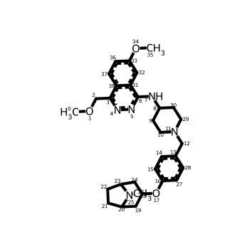 COCc1nnc(NC2CCN(Cc3ccc(OC4CC5CCC(C4)N5C)cc3)CC2)c2cc(OC)ccc12